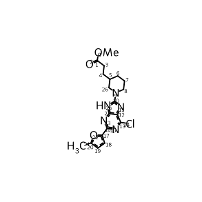 COC(=O)CCC1CCCN(c2nc3c(Cl)nc(-c4ccc(C)o4)nc3[nH]2)C1